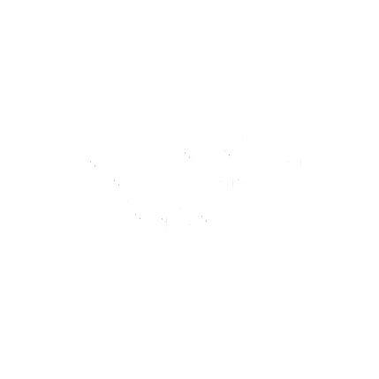 Cc1sc2c(c1CCN(C=O)c1cncc(-c3cc(Nc4ccc(N5CCN(C6COC6)CC5)cn4)c(=O)n(C)c3)c1C=O)CC(C)(C)C2